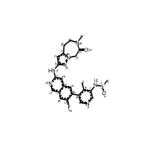 Cc1c(N[S+](C)[O-])cncc1-c1cc2cc(Nc3cc4n(n3)CC(=O)N(C)CC4)ncc2cc1F